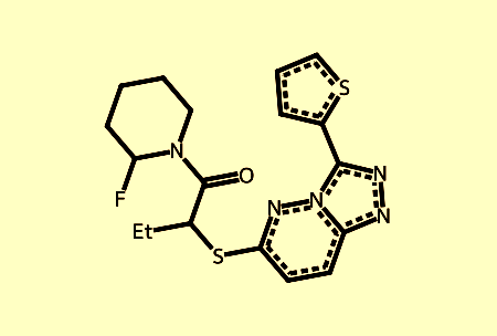 CCC(Sc1ccc2nnc(-c3cccs3)n2n1)C(=O)N1CCCCC1F